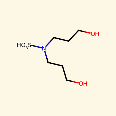 O=S(=O)(O)N(CCCO)CCCO